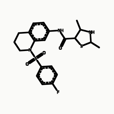 CC1NC(C)C(C(=O)Nc2ccc3c(c2)N(S(=O)(=O)c2ccc(F)cc2)CCC3)S1